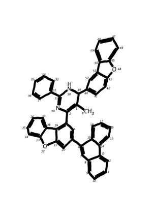 CC1=C(c2cc(-c3cc4ccccc4c4ccccc34)cc3oc4ccccc4c23)N=C(c2ccccc2)NC1c1ccc2oc3ccccc3c2c1